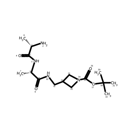 C[C@H](N)C(=O)N[C@@H](C)C(=O)NCC1CN(C(=O)OC(C)(C)C)C1